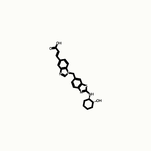 O=C(O)/C=C/c1ccc2c(c1)ncn2Cc1ccc2nc(N[C@@H]3CCCC[C@H]3O)sc2c1